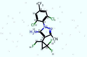 N#Cc1nn(-c2c(Cl)cc(C(F)(F)F)cc2Cl)c(N)c1C1(CF)CC1(F)F